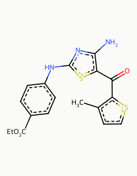 CCOC(=O)c1ccc(Nc2nc(N)c(C(=O)c3sccc3C)s2)cc1